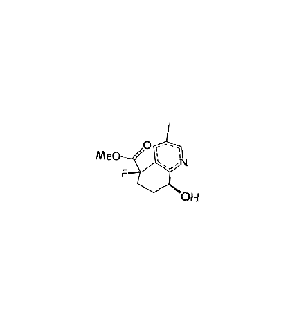 COC(=O)[C@@]1(F)CC[C@H](O)c2ncc(C)cc21